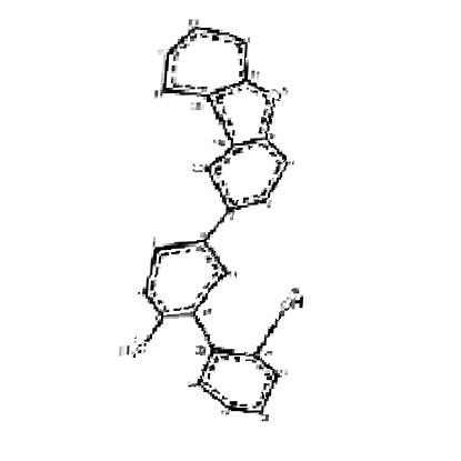 Cc1ccc(-c2ccc3oc4ccccc4c3c2)cc1-c1ccccc1O